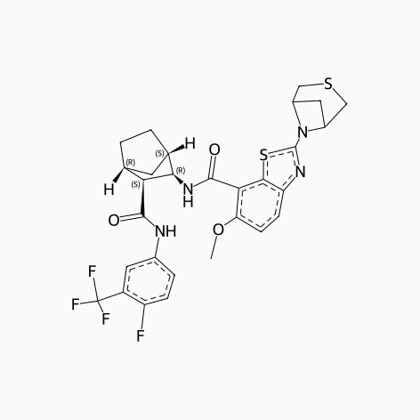 COc1ccc2nc(N3C4CSCC3C4)sc2c1C(=O)N[C@@H]1[C@H]2CC[C@H](C2)[C@@H]1C(=O)Nc1ccc(F)c(C(F)(F)F)c1